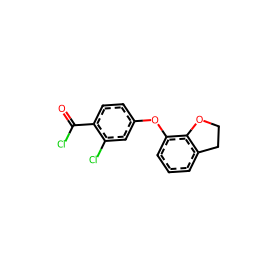 O=C(Cl)c1ccc(Oc2cccc3c2OCC3)cc1Cl